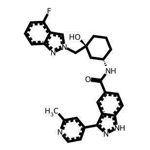 Cc1cc(-c2n[nH]c3ccc(C(=O)N[C@H]4CCC[C@@](O)(Cn5cc6c(F)cccc6n5)C4)cc23)ccn1